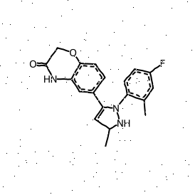 Cc1cc(F)ccc1N1NC(C)C=C1c1ccc2c(c1)NC(=O)CO2